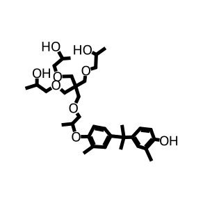 Cc1cc(C(C)(C)c2ccc(OC(C)COCC(COCC(C)O)(COCC(C)O)COCC(C)O)c(C)c2)ccc1O